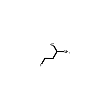 NC(O)CCF